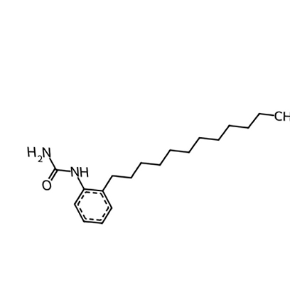 CCCCCCCCCCCCc1ccccc1NC(N)=O